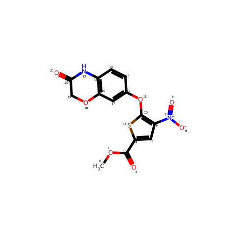 COC(=O)c1cc([N+](=O)[O-])c(Oc2ccc3c(c2)OCC(=O)N3)s1